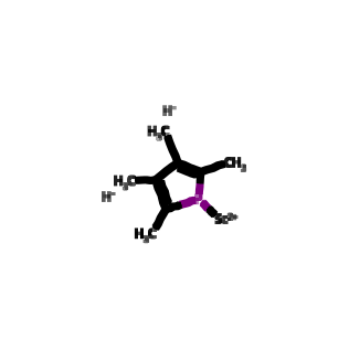 Cc1c(C)c(C)[p]([Sc+2])c1C.[H-].[H-]